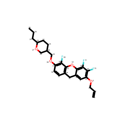 C=CCOc1cc2c(c(F)c1F)Oc1c(ccc(OCC3CCC(CCC)OC3)c1F)C2